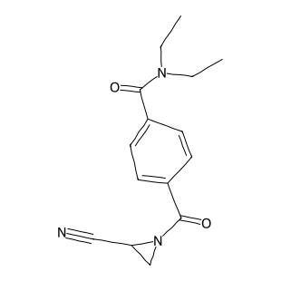 CCN(CC)C(=O)c1ccc(C(=O)N2CC2C#N)cc1